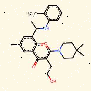 Cc1cc(C(C)Nc2ccccc2C(=O)O)c2oc(N3CCC(C)(C)CC3)c(CCO)c(=O)c2c1